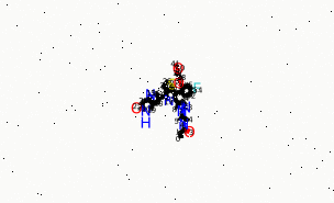 C=CC(=O)N1CC(n2cc(-c3nc(-c4cnc5c(c4)CNC(=O)C5)c4ccsc4c3-c3ccc(F)cc3OCCOC)cn2)C1